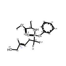 COC(=O)C(C)NP(=O)(Oc1ccccc1)C(F)(F)C/C=C(\C)CO